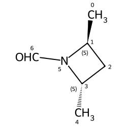 C[C@H]1C[C@H](C)N1C=O